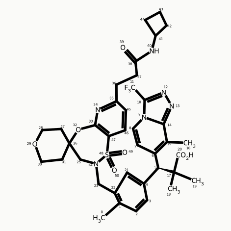 Cc1ccc([C@@H](c2ccn3c(C(F)(F)F)nnc3c2C)C(C)(C)C(=O)O)cc1CN1CC2(CCOCC2)Oc2nc(CCC(=O)NC3CCC3)ccc2S1(=O)=O